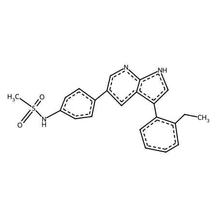 CCc1ccccc1-c1c[nH]c2ncc(-c3ccc(NS(C)(=O)=O)cc3)cc12